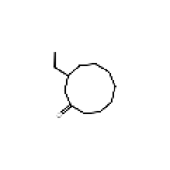 CC[C]1CCCCCCCC(=O)C1